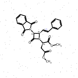 COC(=O)C[C@H](C(=O)OC)N1C(=O)[C@@H](N2C(=O)c3ccccc3C2=O)[C@H]1/C=C/c1ccccc1